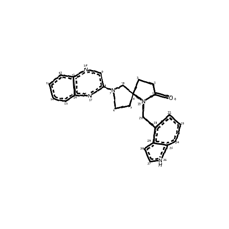 O=C1CCC2(CCN(c3cnc4ccccc4n3)C2)N1Cc1cccc2[nH]ccc12